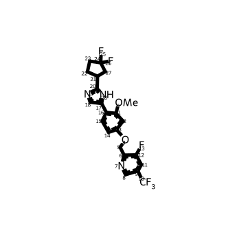 COc1cc(OCc2ncc(C(F)(F)F)cc2F)ccc1-c1cnc(C2CCC(F)(F)C2)[nH]1